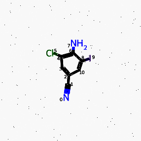 N#Cc1cc(Cl)c(N)c(I)c1